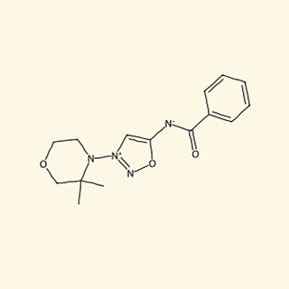 CC1(C)COCCN1[n+]1cc([N-]C(=O)c2ccccc2)on1